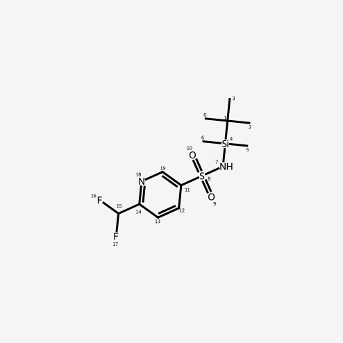 CC(C)(C)[Si](C)(C)NS(=O)(=O)c1ccc(C(F)F)nc1